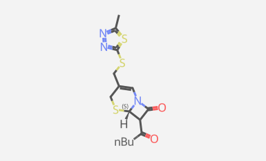 CCCCC(=O)C1C(=O)N2C=C(CSc3nnc(C)s3)CS[C@@H]12